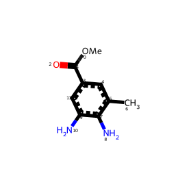 COC(=O)c1cc(C)c(N)c(N)c1